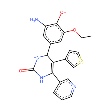 CCOc1cc(C2NC(=O)NC(c3cccnc3)=C2c2ccsc2)cc(N)c1O